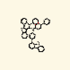 c1ccc(-c2ccc(N(c3ccc(-c4cccc5c4oc4ccccc45)cc3)c3c(-c4ccccc4)c4ccccc4c4sc5ccccc5c34)cc2)cc1